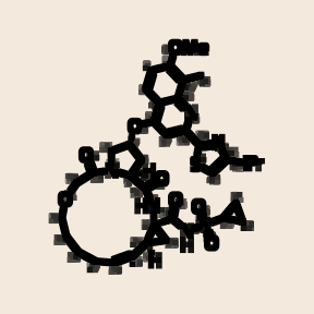 COc1ccc2c(O[C@@H]3C[C@H]4C(=O)N[C@]5(C(=O)NS(=O)(=O)C6CC6)C[C@H]5/C=C\CCCCOCC(=O)N4C3)cc(-c3nc(C(C)C)cs3)nc2c1C